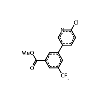 COC(=O)c1cc(-c2ccc(Cl)nc2)cc(C(F)(F)F)c1